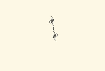 CCCOC(=O)CCCCCCCCCCC(=O)OCCC